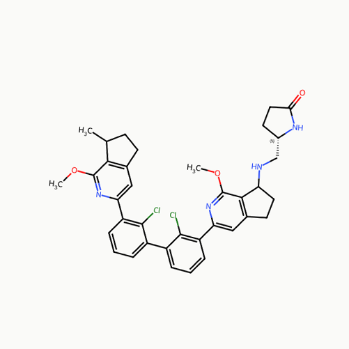 COc1nc(-c2cccc(-c3cccc(-c4cc5c(c(OC)n4)C(NC[C@@H]4CCC(=O)N4)CC5)c3Cl)c2Cl)cc2c1C(C)CC2